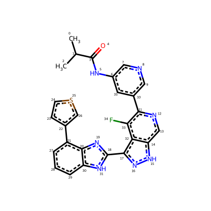 CC(C)C(=O)Nc1cncc(-c2ncc3[nH]nc(-c4nc5c(-c6ccsc6)cccc5[nH]4)c3c2F)c1